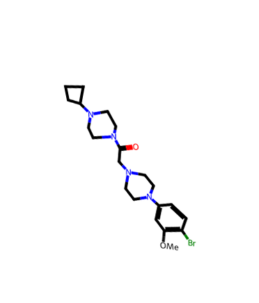 COc1cc(N2CCN(CC(=O)N3CCN(C4CCC4)CC3)CC2)ccc1Br